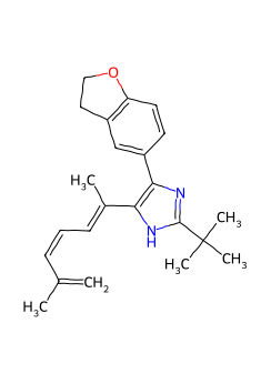 C=C(C)/C=C\C=C(/C)c1[nH]c(C(C)(C)C)nc1-c1ccc2c(c1)CCO2